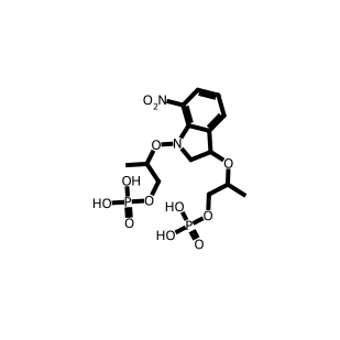 CC(COP(=O)(O)O)OC1CN(OC(C)COP(=O)(O)O)c2c1cccc2[N+](=O)[O-]